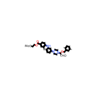 COCCOC(=O)c1ccc(Nc2cccc(N3CCN(C(C=O)OCc4ccccc4)CC3)c2)c([N+](=O)[O-])c1